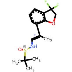 C/C(=C\N[S@+]([O-])C(C)(C)C)c1cccc2c1OCC2(F)F